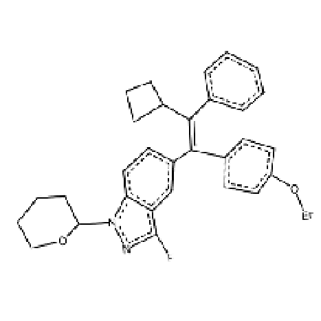 [CH2]COc1ccc(/C(=C(\c2ccccc2)C2CCC2)c2ccc3c(c2)c(F)nn3C2CCCCO2)cc1